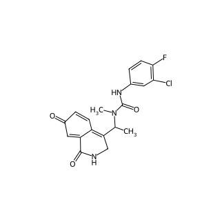 CC(C1=C2C=CC(=O)C=C2C(=O)NC1)N(C)C(=O)Nc1ccc(F)c(Cl)c1